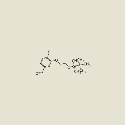 CC(C)(C)[Si](C)(C)OCCOc1cc(C=O)ccc1F